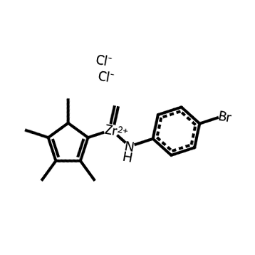 [CH2]=[Zr+2]([NH]c1ccc(Br)cc1)[C]1=C(C)C(C)=C(C)C1C.[Cl-].[Cl-]